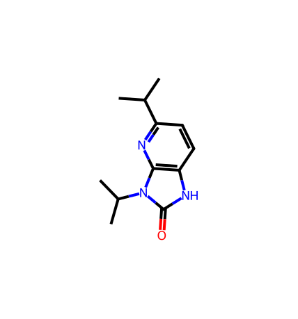 CC(C)c1ccc2[nH]c(=O)n(C(C)C)c2n1